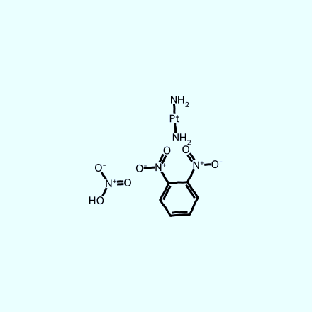 O=[N+]([O-])O.O=[N+]([O-])c1ccccc1[N+](=O)[O-].[NH2][Pt][NH2]